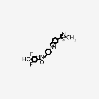 Cc1ncc(-c2ccc3cn(C4CCC(CNC(=O)c5cc(F)c(O)c(F)c5)CC4)nc3c2)s1